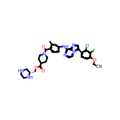 Cc1cc(Nc2nccn3c(-c4ccc(OCC#N)c(F)c4Cl)cnc23)ccc1C(=O)N1CCC(C(=O)OC[C@H]2CNCCN2)CC1